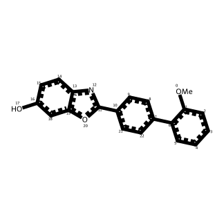 COc1ccccc1-c1ccc(-c2nc3ccc(O)cc3o2)cc1